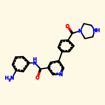 Nc1cccc(NC(=O)c2cncc(-c3ccc(C(=O)N4CCNCC4)cc3)c2)c1